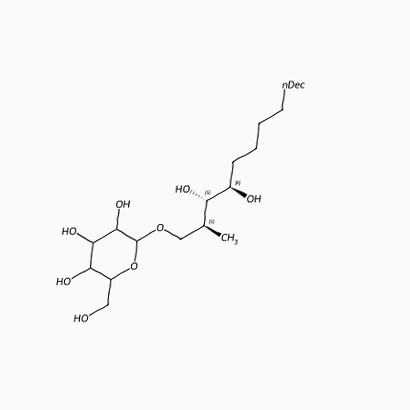 CCCCCCCCCCCCCC[C@@H](O)[C@@H](O)[C@@H](C)COC1OC(CO)C(O)C(O)C1O